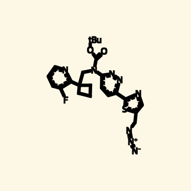 CC(C)(C)OC(=O)N(CC1(c2ncccc2F)CCC1)c1ccc(-c2ncc(CN=[N+]=[N-])s2)nn1